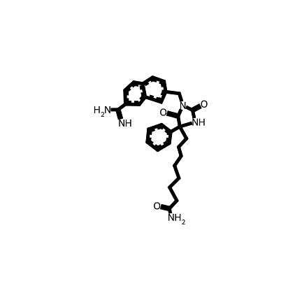 N=C(N)c1ccc2ccc(CN3C(=O)NC(CCCCCCCC(N)=O)(c4ccccc4)C3=O)cc2c1